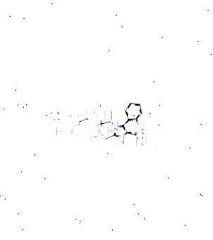 CCOCc1nc2c(N)nc3ccccc3c2n1CC(C)(C)OC(=O)C(C)OC